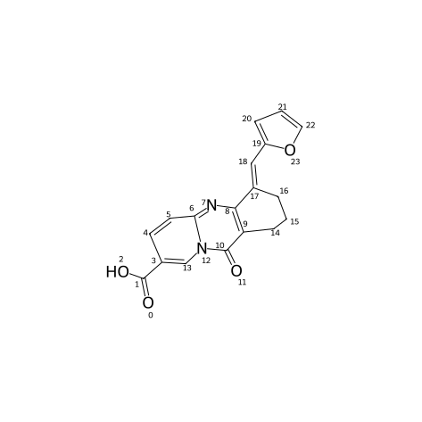 O=C(O)c1ccc2nc3c(c(=O)n2c1)CCCC3=Cc1ccco1